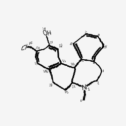 CN1CCc2ccccc2C2c3cc(O)c(Cl)cc3CCC21